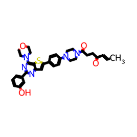 CC=CC(=O)CCC(=O)N1CCN(c2ccc(-c3cc4nc(-c5cccc(O)c5)nc(N5CCOCC5)c4s3)cc2)CC1